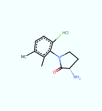 Cc1c(C#N)ccc(F)c1N1CC[C@H](N)C1=O.Cl